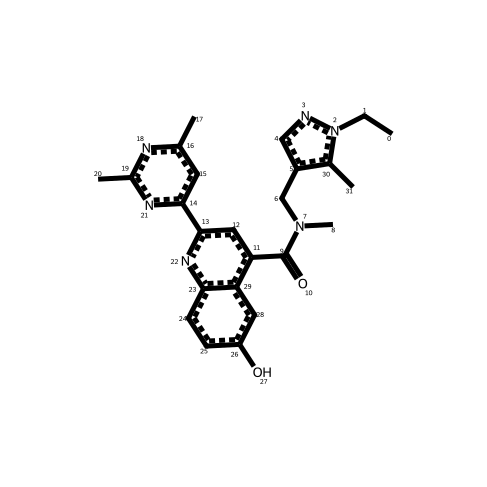 CCn1ncc(CN(C)C(=O)c2cc(-c3cc(C)nc(C)n3)nc3ccc(O)cc23)c1C